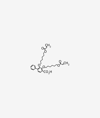 C=CC(=O)OCCCCCCOc1c(C(=O)O)ccc(-c2ccccc2)c1OCCCCCCOC(=O)C=C